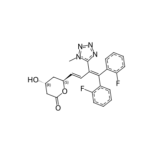 Cn1nnnc1C(C=C[C@@H]1C[C@@H](O)CC(=O)O1)=C(c1ccccc1F)c1ccccc1F